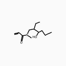 C=CC(=O)N(C)CC(CC)C(O)CCC